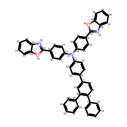 c1ccc(-c2ccc(-c3ccc(N(c4ccc(-c5nc6ccccc6o5)cc4)c4ccc(-c5nc6ccccc6o5)cc4)cc3)cc2-c2ccccc2)cc1